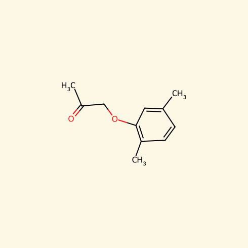 CC(=O)COc1cc(C)ccc1C